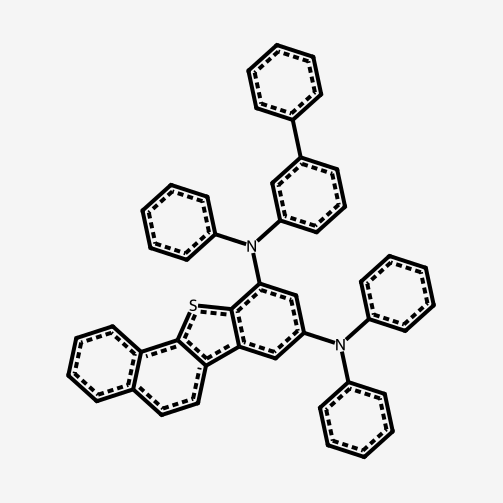 c1ccc(-c2cccc(N(c3ccccc3)c3cc(N(c4ccccc4)c4ccccc4)cc4c3sc3c5ccccc5ccc43)c2)cc1